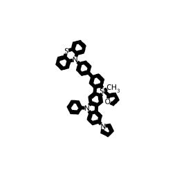 C[Si]1(c2ccco2)c2ccc(-c3ccc(N4c5ccccc5Sc5ccccc54)cc3)cc2-c2cc3c(cc21)c1cc(-n2cccc2)ccc1n3-c1ccccc1